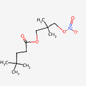 CC(C)(C)CCC(=O)OCC(C)(C)CO[N+](=O)[O-]